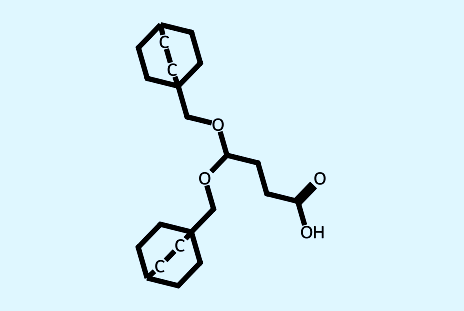 O=C(O)CCC(OCC12CCC(CC1)CC2)OCC12CCC(CC1)CC2